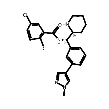 Cn1cc(-c2cccc([C@H](NC(=O)c3cc(Cl)ccc3Cl)[C@@H]3CCCCN3)c2)cn1